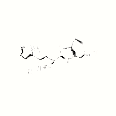 CC(C)(C)n1nc(-c2nc3cc(Cl)ccc3o2)cc1-c1ccc[nH]1